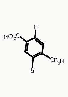 [Li][c]1cc(C(=O)O)[c]([Li])cc1C(=O)O